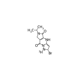 [2H]N1C(Br)C=C2NC3=C(CN(C(C)C)C3=O)C(=O)N21